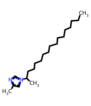 CCCCCCCCCCCCCCCC(C)n1cnc(C)c1